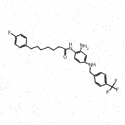 Nc1cc(NCc2ccc(C(F)(F)F)cc2)ccc1NC(=O)CCCCCCc1ccc(F)cc1